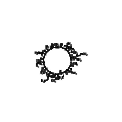 C=CCOC(C)(C)C[C@H]1C(=O)N[C@@H](C(C)C)C(=O)N(C)[C@@H](CC(C)C)C(=O)N[C@@H](C)C(=O)N[C@H](C)C(=O)N(C)[C@@H](CC(C)C)C(=O)N(C)[C@@H](CC(C)C)C(=O)N(C)[C@@H](C(C)C)C(=O)N(C)[C@@H]([C@H](O)[C@H](C)C/C=C/C)C(=O)N[C@@H](CC)C(=O)N(C)[C@H](CCN)C(=O)N1C